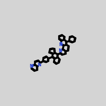 c1ccc(-c2c3ccccc3nc3c2ccc2ccc(-c4c5ccccc5c(-c5ccc(-c6ccc7ncccc7n6)cc5)c5ccccc45)nc23)cc1